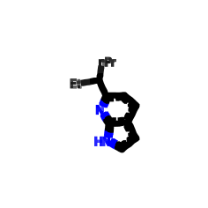 CCCC(CC)c1ccc2cc[nH]c2n1